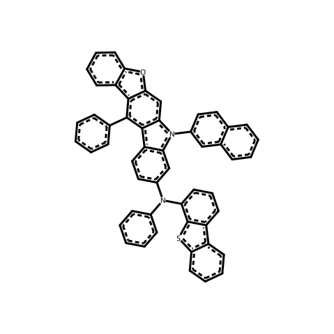 c1ccc(-c2c3c(cc4c2c2ccc(N(c5ccccc5)c5cccc6c5sc5ccccc56)cc2n4-c2ccc4ccccc4c2)oc2ccccc23)cc1